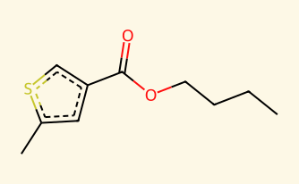 CCCCOC(=O)c1csc(C)c1